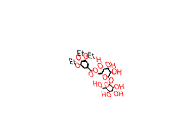 CCOc1cc(C(=O)OCC2OC(OC3OC(CO)C(O)C(O)C3O)C(O)C(O)C2O)cc(OCC)c1OCC